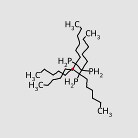 CCCCCCC(P)(CCCCCC)C(P)(CCCCC)C(P)(CCCCCC)CCCCCC